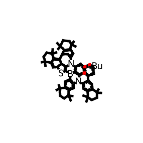 CC1(C)CCC(C)(C)C2=C3C4CC(=CC5=C4C(C)(C)CCC5(C)C)N4C5=C(SC(C=C21)C35)B1c2cc3c(cc2N(c2cc5c(cc2-c2ccccc2)C(C)(C)CCC5(C)C)c2cc(C(C)(C)C)cc4c21)C(C)(C)CCC3(C)C